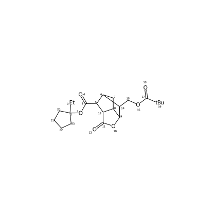 CCC1(OC(=O)C2C3CC4C(OC(=O)C42)C3COC(=O)C(C)(C)C)CCCC1